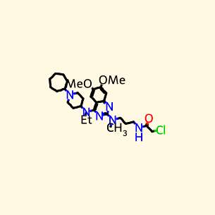 CCN(c1nc(N(C)CCCNC(=O)CCl)nc2cc(OC)c(OC)cc12)C1CCN(C2CCCCCC2)CC1